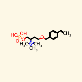 C=Cc1ccc(COCCC(COP(=O)(O)O)[N+](C)(C)C)cc1